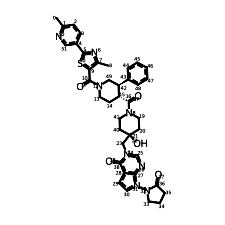 Cc1ccc(-c2nc(C)c(C(=O)N3CC[C@@H](C(=O)N4CCC(O)(Cn5cnc6c(ccn6N6CCCC6=O)c5=O)CC4)[C@H](c4ccccc4)C3)s2)cn1